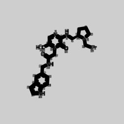 Cc1cnc(NC[C@H]2CCCN2CC(C)C)c(=O)n1CC(=O)NCc1ccc2[nH]ccc2c1